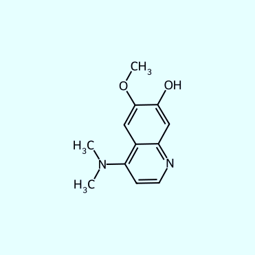 COc1cc2c(N(C)C)ccnc2cc1O